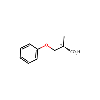 C[C@H](COc1ccccc1)C(=O)O